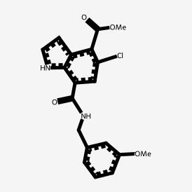 COC(=O)c1c(Cl)cc(C(=O)NCc2cccc(OC)c2)c2[nH]ccc12